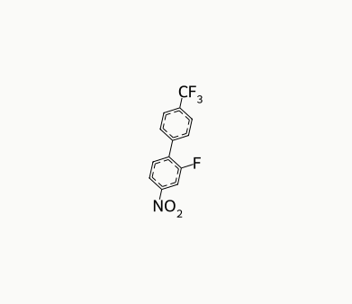 O=[N+]([O-])c1ccc(-c2ccc(C(F)(F)F)cc2)c(F)c1